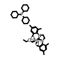 C1CCC(P(C2CCCCC2)C2CCCCC2)CC1.CCO[CH]=[Ru]([Cl])([Cl])=[C]1N(c2c(C)cc(C)cc2C)CCN1c1c(C)cc(C)cc1C